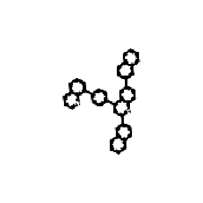 c1ccc2cc(-c3ccc4nc(-c5ccc6ccccc6c5)cc(-c5ccc(-c6cccc7cccnc67)cc5)c4c3)ccc2c1